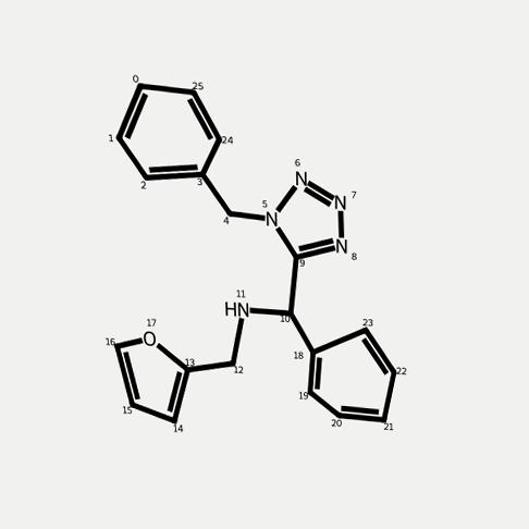 c1ccc(Cn2nnnc2C(NCc2ccco2)c2ccccc2)cc1